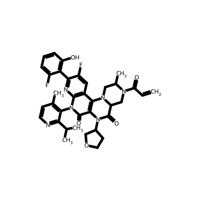 C=CC(=O)N1CC2C(=O)N(C3CCOC3)c3c(c4cc(F)c(-c5c(O)cccc5F)nc4n(-c4c(C)ccnc4C(C)C)c3=O)N2CC1C